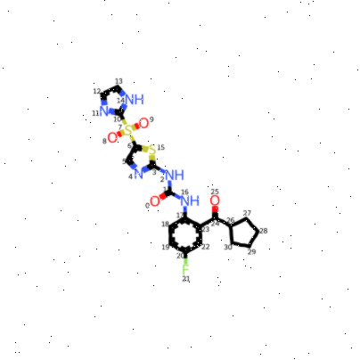 O=C(Nc1ncc(S(=O)(=O)c2ncc[nH]2)s1)Nc1ccc(F)cc1C(=O)C1CCCC1